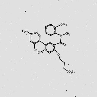 CCOC(=O)CCCOc1cc(Cl)c(-c2cnc(C(F)(F)F)cc2C#N)cc1C(=O)N(C)c1ccccc1OC